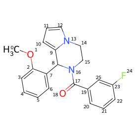 COc1ccccc1C1c2cccn2CCN1C(=O)c1cccc(F)c1